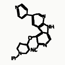 CC(C)N1CCC(Oc2c(C#N)ncc3[nH]c4ncc(-c5ccncc5)cc4c23)CC1